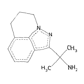 CC(C)(N)c1nn2c3c(cccc13)CCC2